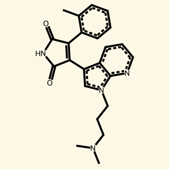 Cc1ccccc1C1=C(c2cn(CCCN(C)C)c3ncccc23)C(=O)NC1=O